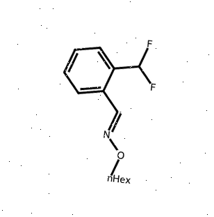 CCCCCCO/N=[C]/c1ccccc1C(F)F